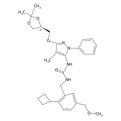 COCc1ccc(C2CCC2)c(CNC(=O)Nc2c(C)c(OC[C@H]3COC(C)(C)O3)nn2-c2ccccc2)c1